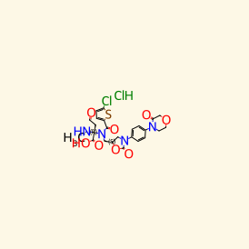 CN[C@@](CC=O)(C(=O)O)N(C[C@H]1CN(c2ccc(N3CCOCC3=O)cc2)C(=O)O1)C(=O)c1ccc(Cl)s1.Cl